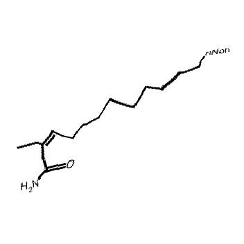 CCCCCCCCCCCCCCCCCCC=C(C)C(N)=O